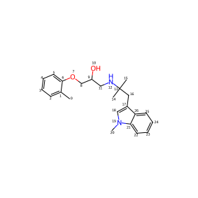 Cc1ccccc1OCC(O)CNC(C)(C)Cc1cn(C)c2ccccc12